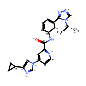 C[C@H](n1cnnc1C1=CC=CC(NC(=O)c2cc(-n3cnc(C4CC4)c3)ccn2)C1)C(F)(F)F